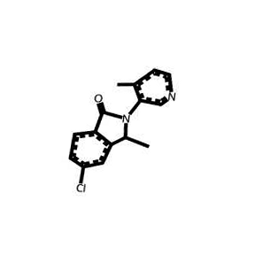 Cc1ccncc1N1C(=O)c2ccc(Cl)cc2C1C